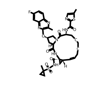 Cc1cnc(C(=O)N[C@H]2CCCCC/C=C\[C@@H]3C[C@@]3(C(=O)NS(=O)(=O)C3(C)CC3)NC(=O)[C@@H]3C[C@@H](Oc4nc5cc(F)ccc5nc4C)CN3C2=O)s1